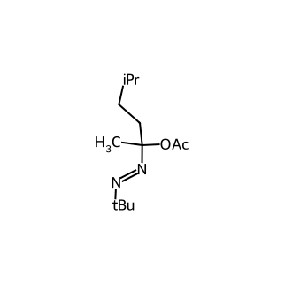 CC(=O)OC(C)(CCC(C)C)N=NC(C)(C)C